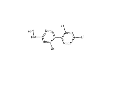 CCc1cc(NN)ncc1-c1ccc(Cl)cc1Cl